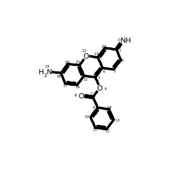 N=c1ccc2c(OC(=O)c3ccccc3)c3ccc(N)cc3oc-2c1